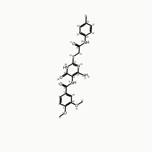 COc1ccc(C(=O)Nc2c(N)nc(SCC(=O)Nc3ccc(C)cc3)[nH]c2=O)cc1OC